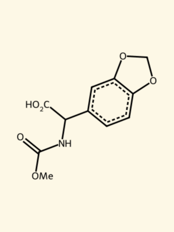 COC(=O)NC(C(=O)O)c1ccc2c(c1)OCO2